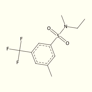 CCN(C)S(=O)(=O)c1cc(C)cc(C(F)(F)F)c1